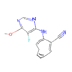 COc1ncnc(Nc2ccccc2C#N)c1F